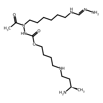 CC(=O)N(CCCCCCNC=NN)NC(=O)OCCCCNCC[C@@H](C)N